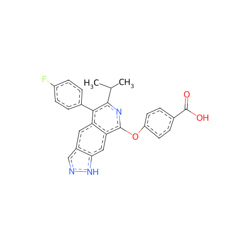 CC(C)c1nc(Oc2ccc(C(=O)O)cc2)c2cc3[nH]ncc3cc2c1-c1ccc(F)cc1